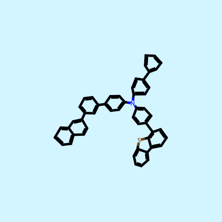 c1ccc(-c2ccc(N(c3ccc(-c4cccc(-c5ccc6ccccc6c5)c4)cc3)c3ccc(-c4cccc5c4sc4ccccc45)cc3)cc2)cc1